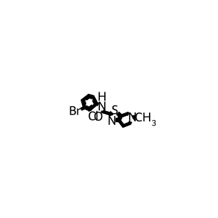 CN1CCc2nc(C(=O)Nc3cccc(Br)c3Cl)sc2C1